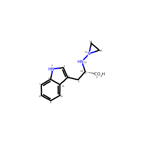 O=C(O)[C@H](Cc1c[nH]c2ccccc12)NN1CC1